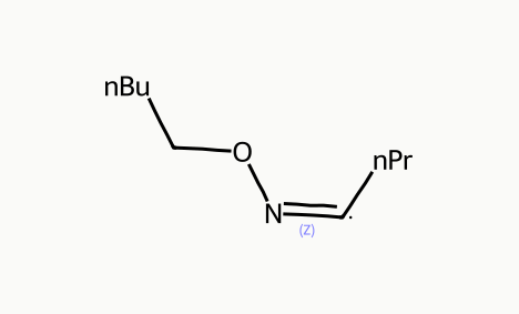 CCC/[C]=N\OCCCCC